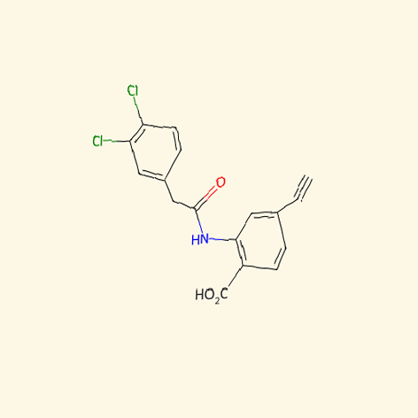 C#Cc1ccc(C(=O)O)c(NC(=O)Cc2ccc(Cl)c(Cl)c2)c1